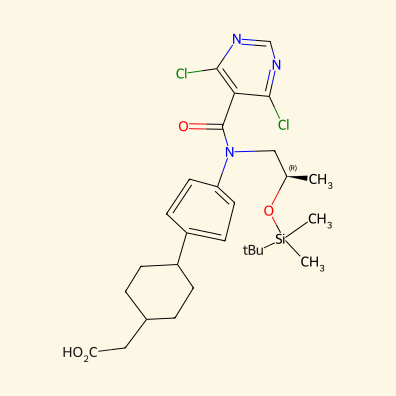 C[C@H](CN(C(=O)c1c(Cl)ncnc1Cl)c1ccc(C2CCC(CC(=O)O)CC2)cc1)O[Si](C)(C)C(C)(C)C